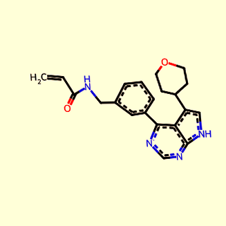 C=CC(=O)NCc1cccc(-c2ncnc3[nH]cc(C4CCOCC4)c23)c1